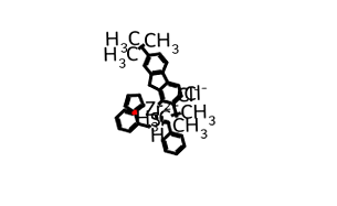 CC(C)(C)c1ccc2c(c1)Cc1c-2ccc(C(C)(C)C)[c]1[Zr+2]([C]1=CC=CC1)[SiH](Cc1ccccc1)Cc1ccccc1.[Cl-].[Cl-]